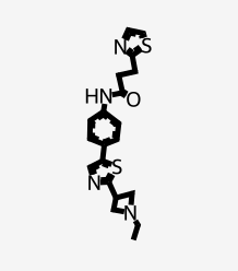 CCN1CC(c2ncc(-c3ccc(NC(=O)CCc4nccs4)cc3)s2)C1